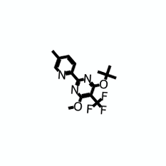 COc1nc(-c2ccc(C)cn2)nc(OC(C)(C)C)c1C(F)(F)F